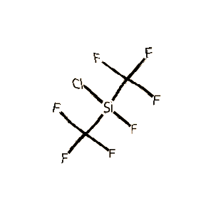 FC(F)(F)[Si](F)(Cl)C(F)(F)F